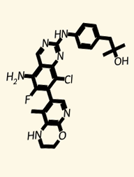 Cc1c(-c2c(F)c(N)c3cnc(Nc4ccc(CC(C)(C)O)cc4)nc3c2Cl)cnc2c1NCCO2